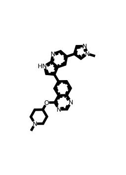 CN1CCC(Oc2ncnc3ccc(-c4c[nH]c5ncc(-c6cnn(C)c6)cc45)cc23)CC1